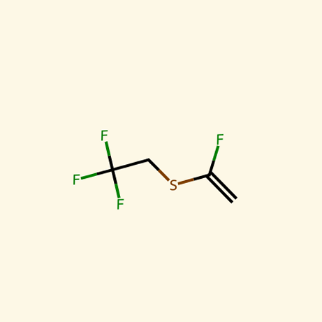 C=C(F)SCC(F)(F)F